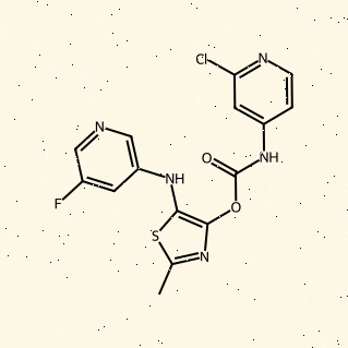 Cc1nc(OC(=O)Nc2ccnc(Cl)c2)c(Nc2cncc(F)c2)s1